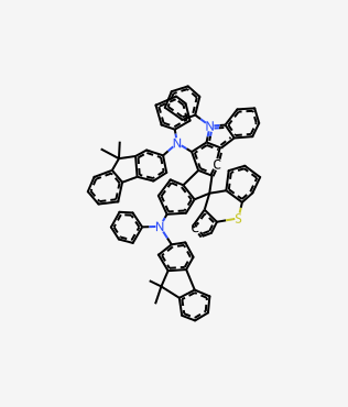 CC1(C)c2ccccc2-c2ccc(N(c3ccccc3)c3ccc4c(c3)C3(c5ccccc5Sc5ccccc53)c3cc5c6ccccc6n(-c6ccccc6)c5c(N(c5ccccc5)c5ccc6c(c5)C(C)(C)c5ccccc5-6)c3-4)cc21